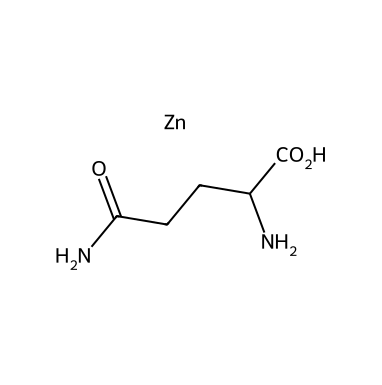 NC(=O)CCC(N)C(=O)O.[Zn]